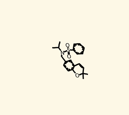 CC(C)N(Cc1ccc2c(c1)C=CC(C)(C)O2)S(=O)(=O)c1ccccc1